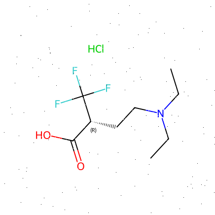 CCN(CC)CC[C@H](C(=O)O)C(F)(F)F.Cl